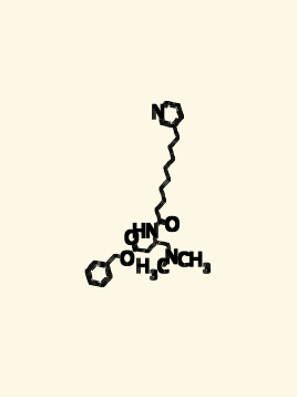 CN(C)CC(CC(=O)OCc1ccccc1)NC(=O)CCCCCCCCc1cccnc1